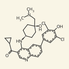 CN(C)C[C@]1(O)CC[C@@H](Nc2c(C(=O)C3CC3)cnc3ccc(-c4cc(Cl)c(O)c(Cl)c4)cc23)CC1